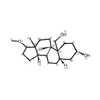 COC1CC[C@H]2C3CC[C@H]4C[C@H](O)CCC4(CO)[C@H]3CCC12C